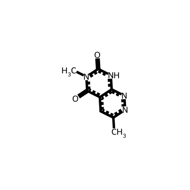 Cc1cc2c(=O)n(C)c(=O)[nH]c2nn1